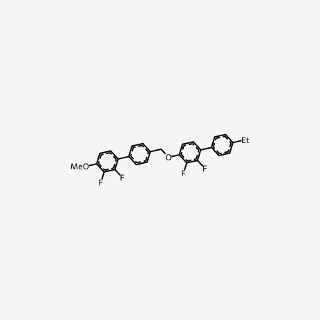 CCc1ccc(-c2ccc(OCc3ccc(-c4ccc(OC)c(F)c4F)cc3)c(F)c2F)cc1